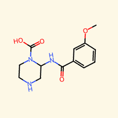 COc1cccc(C(=O)NC2CNCCN2C(=O)O)c1